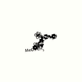 COc1cc(C)c(S(=O)(=O)N(Cc2cc(C(=O)N3CCN(CCc4ccncc4)CC3)co2)C2CC2)c(C)c1.O=C(O)C(F)(F)F